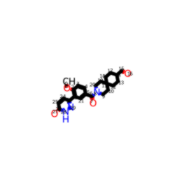 COc1ccc(C(=O)N2CCC3(CCC(C=O)CC3)CC2)cc1-c1ccc(=O)[nH]n1